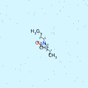 CCCCN(CCCC)C(C)=O